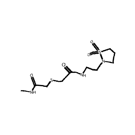 CNC(=O)CSCC(=O)NCCN1CCCS1(=O)=O